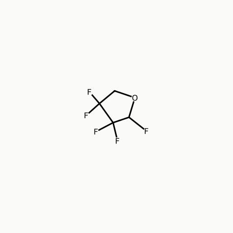 FC1OCC(F)(F)C1(F)F